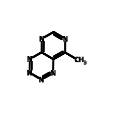 Cc1ncnc2nnnnc12